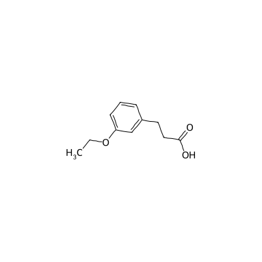 CCOc1cccc(CCC(=O)O)c1